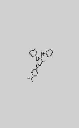 CC(=COc1ccc(C(C)C)cc1)/C(=N\c1ccccc1)Oc1ccccc1